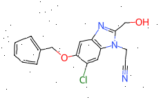 N#CCn1c(CO)nc2cc(OCc3ccccc3)c(Cl)cc21